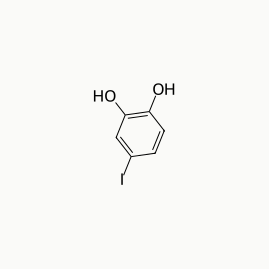 Oc1ccc(I)cc1O